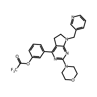 O=C(Oc1cccc(-c2nc(N3CCOCC3)nc3c2CCN3Cc2cccnc2)c1)C(F)(F)F